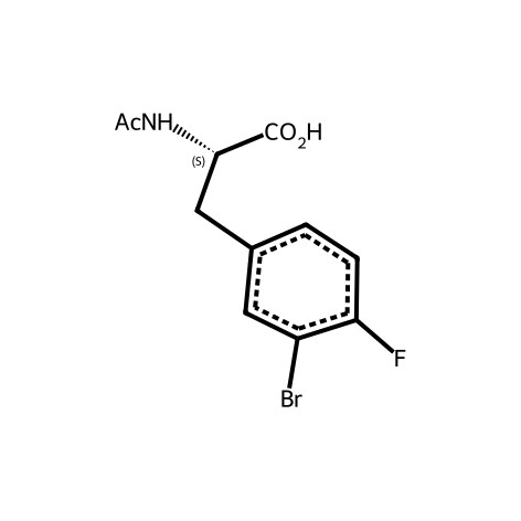 CC(=O)N[C@@H](Cc1ccc(F)c(Br)c1)C(=O)O